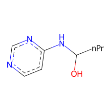 CCCC(O)Nc1ccncn1